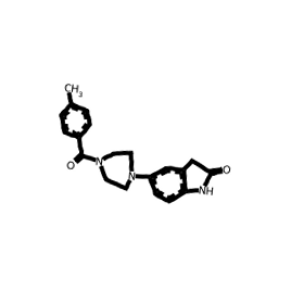 Cc1ccc(C(=O)N2CCN(c3ccc4c(c3)CC(=O)N4)CC2)cc1